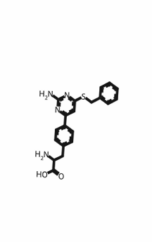 Nc1nc(SCc2ccccc2)cc(-c2ccc(CC(N)C(=O)O)cc2)n1